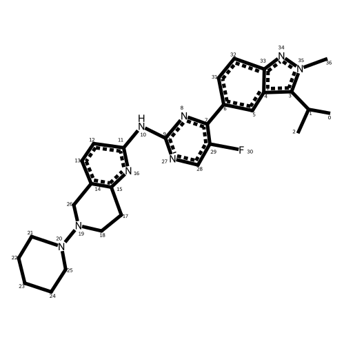 CC(C)c1c2cc(-c3nc(Nc4ccc5c(n4)CCN(N4CCCCC4)C5)ncc3F)ccc2nn1C